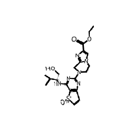 CCOC(=O)c1cn2c(n1)CN(c1nc3c(c(N[C@@H](CO)C(C)C)n1)[S@+]([O-])CC3)CC2